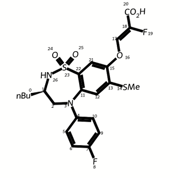 CCCC[C@@H]1CN(c2ccc(F)cc2)c2cc(SC)c(O/C=C(\F)C(=O)O)cc2S(=O)(=O)N1